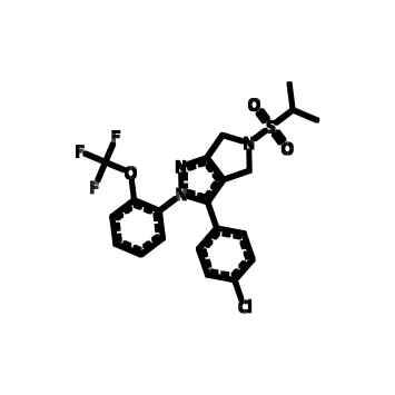 CC(C)S(=O)(=O)N1Cc2nn(-c3ccccc3OC(F)(F)F)c(-c3ccc(Cl)cc3)c2C1